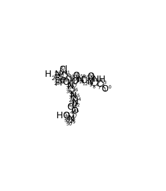 COc1ccc2c(c1)CCN(C1CCN(C(=O)O[C@H](Cc3cc(Cl)c(N)c(C(F)(F)F)c3)C(=O)N3CCC(N4CCN(CC(=O)OCCN5CCCC5O)CC4)CC3)CC1)C(=O)N2